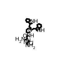 Nc1nc(N)c(C(=O)NC2CCC[N+](CCc3c[nH]c4ccccc34)(CCc3c[nH]c4ccccc34)C2)nc1Cl